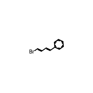 BrC=CC=Cc1ccccc1